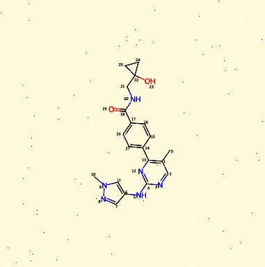 Cc1cnc(Nc2cnn(C)c2)nc1-c1ccc(C(=O)NCC2(O)CC2)cc1